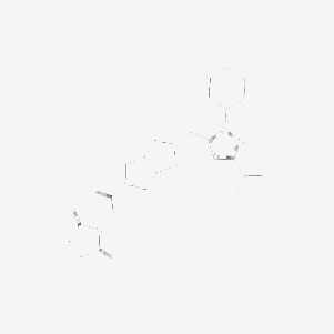 CC(C)c1cc(CN2CC3CN(C(=O)ON4C(=O)CCC4=O)CC3C2)n(C2CCCCC2)n1